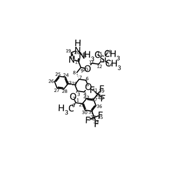 C[C@@H](O[C@H]1COC[C@@H](CC(OCC[Si](C)(C)C)c2nc[nH]n2)[C@@H]1c1ccccc1)c1cc(C(F)(F)F)cc(C(F)(F)F)c1